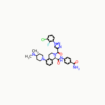 CN(C)C1CCN(c2cccc3c2CCN(C(=O)c2cn(-c4cccc(Cl)c4F)nn2)[C@H]3C(=O)Nc2ccc(C(N)=O)cc2)CC1